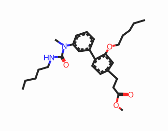 CCCCCNC(=O)N(C)c1cccc(-c2ccc(CCC(=O)OC)cc2OCCCCC)c1